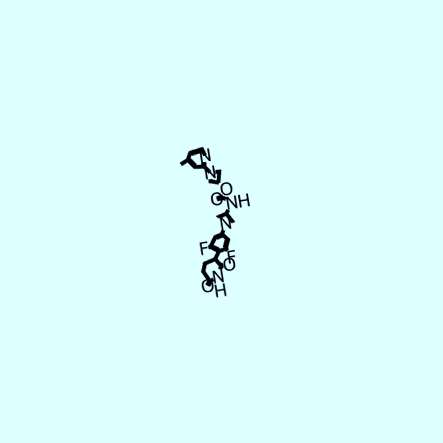 Cc1ccnc(N2CC(OC(=O)NC3CN(c4cc(F)c(C5CCC(=O)NC5=O)c(F)c4)C3)C2)c1